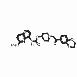 COc1ccc2nccc(NC(=O)OC3CCN(CC(=O)c4ccc5c(c4)OCCO5)CC3)c2n1